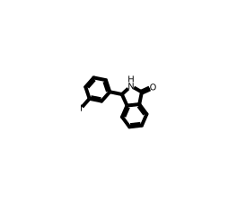 O=C1NC(c2cccc(I)c2)c2ccccc21